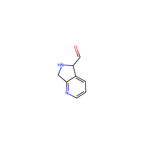 O=CC1NCc2ncccc21